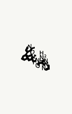 Cc1cc(-c2cccc3cc([C@H](C)NC(=O)c4c(N)nn5cccnc45)n(C)c(=O)c23)ccn1